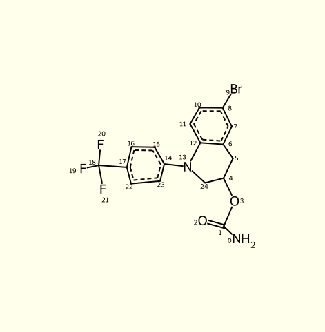 NC(=O)OC1Cc2cc(Br)ccc2N(c2ccc(C(F)(F)F)cc2)C1